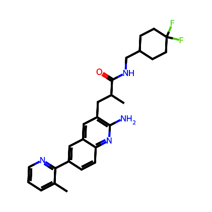 Cc1cccnc1-c1ccc2nc(N)c(CC(C)C(=O)NCC3CCC(F)(F)CC3)cc2c1